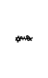 CC(C)(C)OC(=O)CCCOc1cc[c]cc1